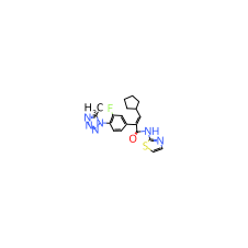 Cc1nnnn1-c1ccc(/C(=C\C2CCCC2)C(=O)Nc2nccs2)cc1F